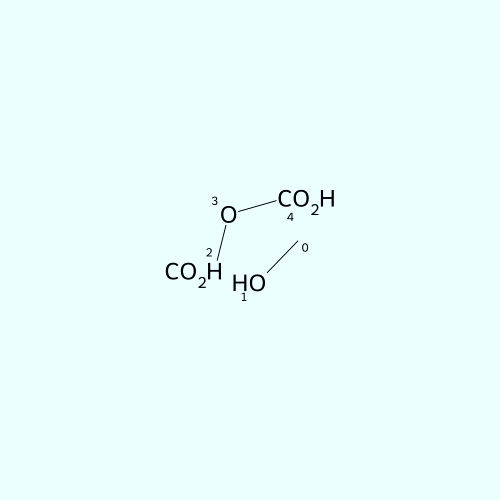 CO.O=C(O)OC(=O)O